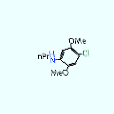 CCCNc1cc(OC)c(Cl)cc1OC